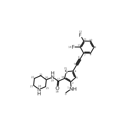 CNc1cc(C#Cc2cccc(F)c2F)sc1C(=O)NC1CCCNC1